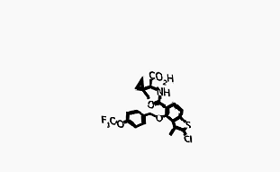 CC1=C(Cl)SC2C=CC(C(=O)N[C@H](C(=O)O)C3(C)CC3)=C(OCc3ccc(OC(F)(F)F)cc3)C12